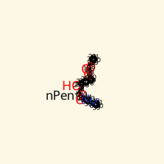 CCCCCC(CCC1C2Cc3cccc(OCC(=O)OCc4ccccc4)c3CC2C[C@H]1O)OC(=O)N1CCC(N2CCCCC2)CC1